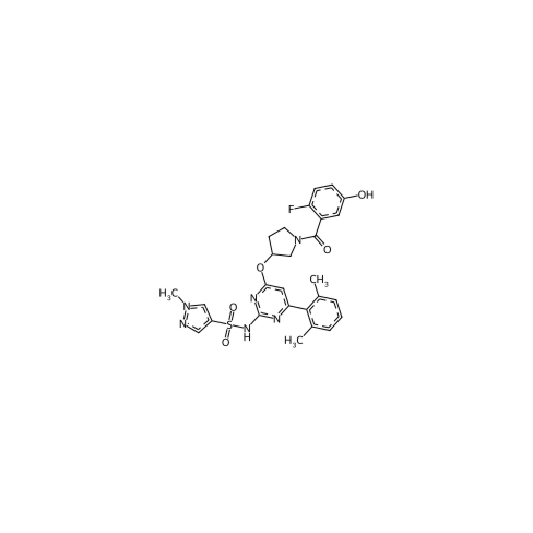 Cc1cccc(C)c1-c1cc(OC2CCN(C(=O)c3cc(O)ccc3F)C2)nc(NS(=O)(=O)c2cnn(C)c2)n1